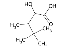 CC(C(O)C(=O)O)C(C)(C)C